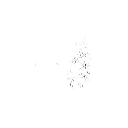 CCCCCC/C=C\CCCCC/C=C/C(=O)NC1(C)[C@](C)(O[C@]2(C)C(C)(CO)O[C@@](C)(O[C@]3(C)C(C)(CO)O[C@@](C)(O[C@]4(C)C(C)(COS(=O)(=O)O)OC(C)C(C)(NC(C)=O)[C@@]4(C)O)C(C)(NC(C)=O)[C@@]3(C)O)C(C)(NC(C)=O)[C@@]2(C)O)OC(C)(CO)[C@@](C)(O)[C@]1(C)O